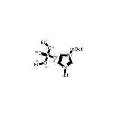 CCCCCCCCn1cc[n+](CC)c1.CCOP(=O)([O-])OCC